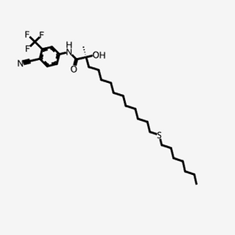 CCCCCCCSCCCCCCCCCCC[C@](C)(O)C(=O)Nc1ccc(C#N)c(C(F)(F)F)c1